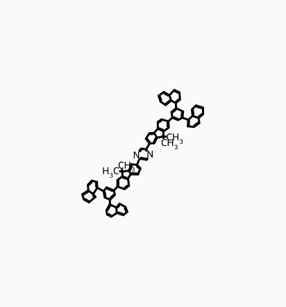 CC1(C)c2cc(-c3cc(-c4cccc5ccccc45)cc(-c4cccc5ccccc45)c3)ccc2-c2ccc(-c3cnc(-c4ccc5c(c4)C(C)(C)c4cc(-c6cc(-c7cccc8ccccc78)cc(-c7cccc8ccccc78)c6)ccc4-5)cn3)cc21